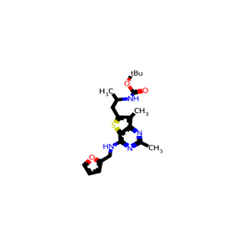 Cc1nc(NCc2ccco2)c2sc(CC(C)NC(=O)OC(C)(C)C)c(C)c2n1